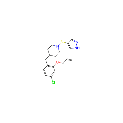 C=CCOc1cc(Cl)ccc1CC1CCN(Sc2cn[nH]c2)CC1